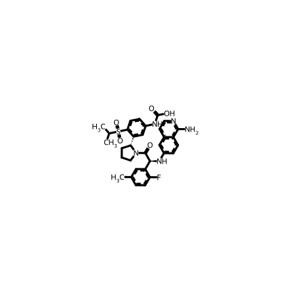 Cc1ccc(F)c([C@H](Nc2ccc3c(N)nccc3c2)C(=O)N2CCC[C@@H]2c2cc(NC(=O)O)ccc2S(=O)(=O)C(C)C)c1